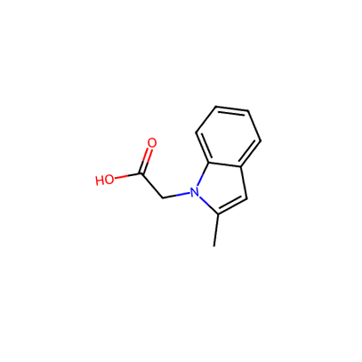 Cc1cc2ccccc2n1CC(=O)O